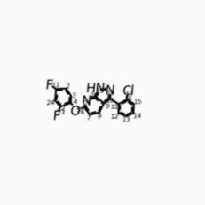 Fc1ccc(Oc2ccc3c(-c4ccccc4Cl)n[nH]c3n2)c(F)c1